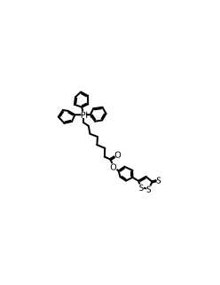 O=C(CCCCCCC[PH](c1ccccc1)(c1ccccc1)c1ccccc1)Oc1ccc(-c2cc(=S)ss2)cc1